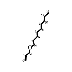 C=CCO[CH]CCCCCCCC